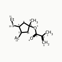 C=C(C)C(=O)OC1(C)CC(SCC)C(C(C)=O)C1